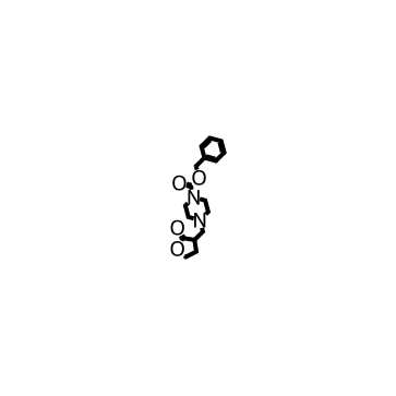 O=C1OCCC1CN1CCN(C(=O)OCc2ccccc2)CC1